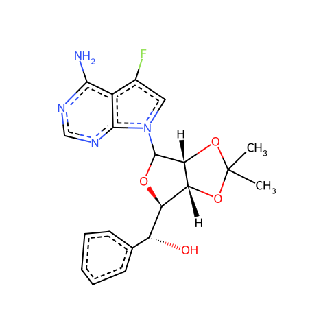 CC1(C)O[C@@H]2[C@@H]([C@H](O)c3ccccc3)OC(n3cc(F)c4c(N)ncnc43)[C@@H]2O1